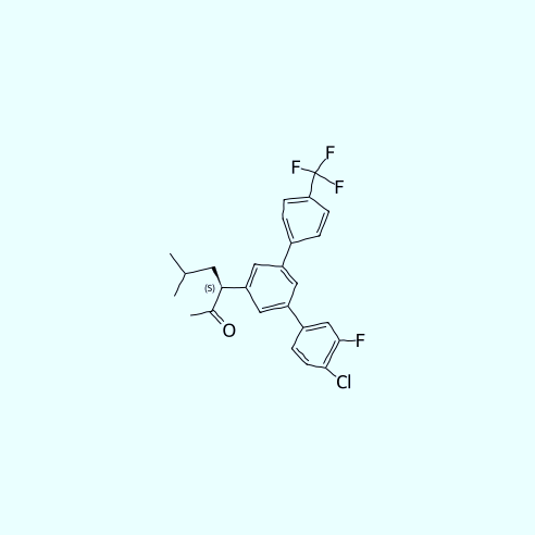 CC(=O)[C@@H](CC(C)C)c1cc(-c2ccc(C(F)(F)F)cc2)cc(-c2ccc(Cl)c(F)c2)c1